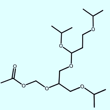 CC(=O)OCOC(COC(C)C)COC(CCOC(C)C)OC(C)C